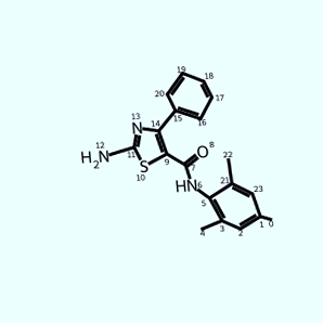 Cc1cc(C)c(NC(=O)c2sc(N)nc2-c2ccccc2)c(C)c1